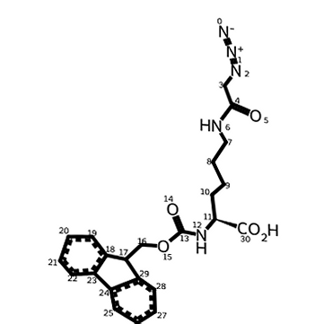 [N-]=[N+]=NCC(=O)NCCCC[C@H](NC(=O)OCC1c2ccccc2-c2ccccc21)C(=O)O